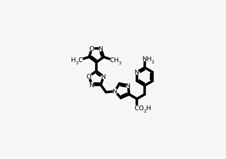 Cc1noc(C)c1-c1nc(Cn2cnc(C(Cc3ccc(N)nc3)C(=O)O)c2)no1